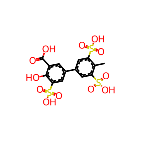 Cc1c(S(=O)(=O)O)cc(-c2cc(C(=O)O)c(O)c(S(=O)(=O)O)c2)cc1S(=O)(=O)O